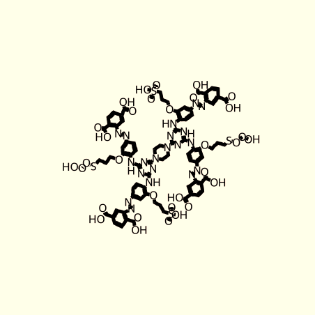 O=C(O)c1ccc(C(=O)O)c(N=Nc2ccc(Nc3nc(Nc4ccc(N=Nc5cc(C(=O)O)ccc5C(=O)O)cc4OCCCS(=O)(=O)O)nc(N4CCN(c5nc(Nc6ccc(N=Nc7cc(C(=O)O)ccc7C(=O)O)cc6OCCCSOOO)nc(Nc6ccc(N=Nc7cc(C(=O)O)ccc7C(=O)O)cc6OCCCS(=O)(=O)O)n5)CC4)n3)c(OCCCSOOO)c2)c1